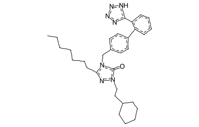 CCCCCCCc1nn(CCC2CCCCC2)c(=O)n1Cc1ccc(-c2ccccc2-c2nnn[nH]2)cc1